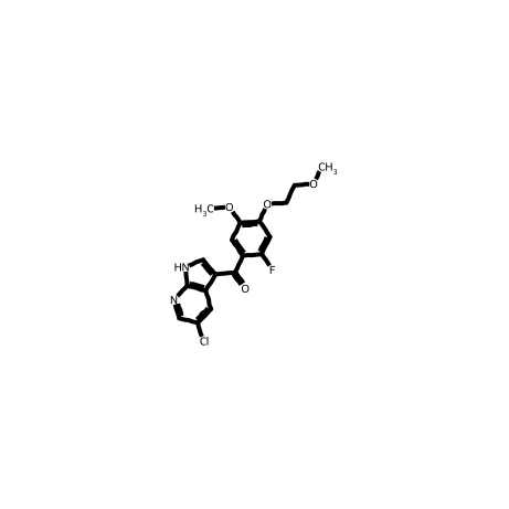 COCCOc1cc(F)c(C(=O)c2c[nH]c3ncc(Cl)cc23)cc1OC